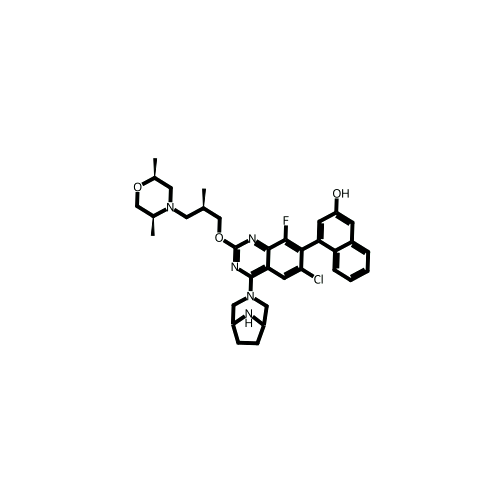 C[C@@H](COc1nc(N2CC3CCC(C2)N3)c2cc(Cl)c(-c3cc(O)cc4ccccc34)c(F)c2n1)CN1C[C@H](C)OC[C@@H]1C